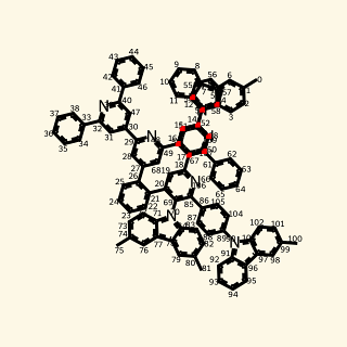 Cc1ccc2c(c1)c1ccccc1n2-c1ccc(-c2cc(-c3ccccc3-c3cc(-c4cc(-c5ccccc5)nc(-c5ccccc5)c4)nc(-c4cc(-c5ccccc5)nc(-c5ccccc5)c4)c3)c(-n3c4ccc(C)cc4c4cc(C)ccc43)c(-c3ccc(-n4c5ccccc5c5cc(C)ccc54)cc3)n2)cc1